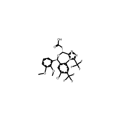 COc1cccc([C@H]2O[C@H](CC(=O)O)c3nnc(C(F)(F)F)n3-c3cc(C(F)(F)F)c(Cl)cc32)c1OC